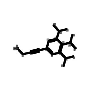 CC(C)c1cc(C#CCO)cc(C(C)C)c1N(C)C